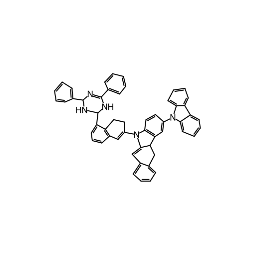 C1=C(N2C3=Cc4ccccc4CC3c3cc(-n4c5ccccc5c5ccccc54)ccc32)CCc2c1cccc2C1NC(c2ccccc2)=NC(c2ccccc2)N1